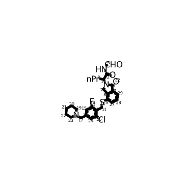 CCCC(C(=O)NC=O)N1Cc2c(SCc3c(F)cc(CN4CCCCC4)cc3Cl)cccc2C1=O